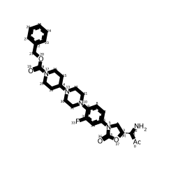 CC(=O)C(N)[C@H]1CN(c2ccc(N3CCN(C4CCN(C(=O)OCc5ccccc5)CC4)CC3)c(F)c2)C(=O)O1